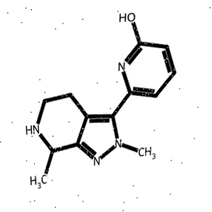 CC1NCCc2c1nn(C)c2-c1cccc(O)n1